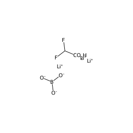 O=C(O)C(F)F.[Li+].[Li+].[Li+].[O-]B([O-])[O-]